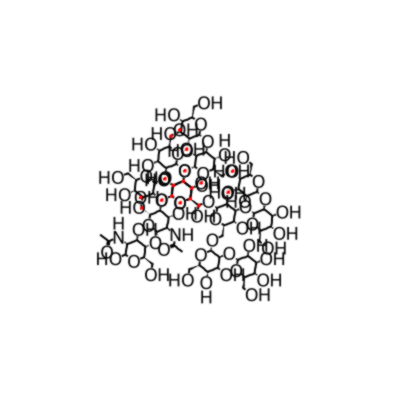 CC(=O)N[C@H]1[C@H](O[C@H]2[C@H](O)[C@@H](NC(C)=O)C(O)O[C@@H]2CO)O[C@H](CO)[C@@H](O[C@@H]2O[C@H](CO[C@H]3O[C@H](CO[C@H]4O[C@H](CO)[C@@H](O)[C@H](O)[C@@H]4O[C@H]4O[C@H](CO)[C@@H](O)[C@H](O)[C@@H]4O)[C@@H](O)[C@H](O[C@H]4O[C@H](CO)[C@@H](O)[C@H](O)[C@@H]4O[C@H]4O[C@H](CO)[C@@H](O)[C@H](O)[C@@H]4O)[C@@H]3O)[C@@H](O)[C@H](O[C@H]3O[C@H](CO)[C@@H](O)[C@H](O)[C@@H]3O[C@H]3O[C@H](CO)[C@@H](O)[C@H](O)[C@@H]3O[C@H]3O[C@H](CO)[C@@H](O)[C@H](O[C@H]4O[C@H](CO)[C@@H](O)[C@H](O[C@H]5O[C@H](CO)[C@@H](O)[C@H](O)[C@H]5O)[C@H]4O)[C@@H]3O)[C@@H]2O)[C@@H]1O